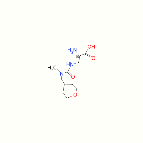 CN(CC1CCOCC1)C(=O)NC[C@H](N)C(=O)O